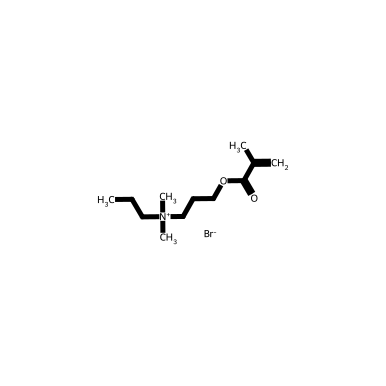 C=C(C)C(=O)OCCC[N+](C)(C)CCC.[Br-]